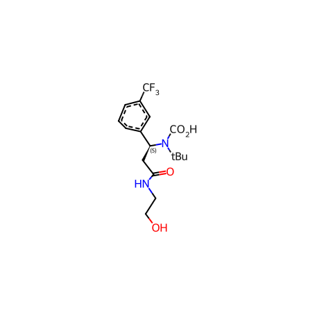 CC(C)(C)N(C(=O)O)[C@@H](CC(=O)NCCO)c1cccc(C(F)(F)F)c1